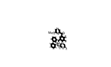 COc1cncc(C(=O)c2cc(CO[Si](c3ccccc3)(c3ccccc3)C(C)(C)C)c(N3C[C@@H](C)O[C@H](C)C3)c(F)c2F)n1